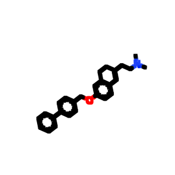 CN(C)CCC1=Cc2ccc(OCc3ccc(-c4ccccc4)cc3)cc2CC1